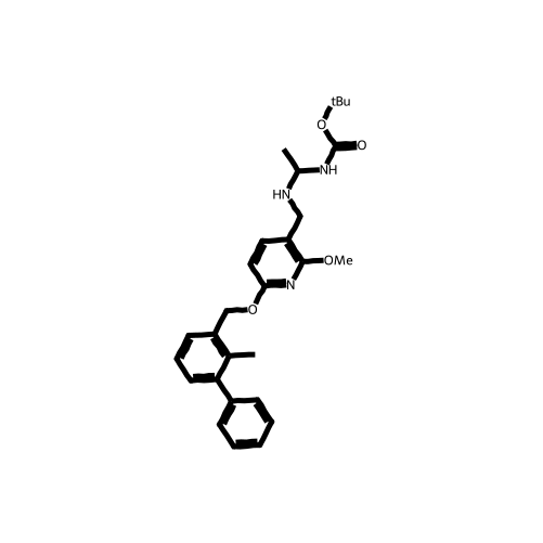 COc1nc(OCc2cccc(-c3ccccc3)c2C)ccc1CNC(C)NC(=O)OC(C)(C)C